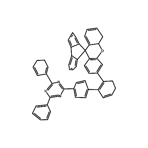 C1=CCC2Oc3cc(C4=C(c5ccc(-c6nc(C7=CCCC=C7)nc(-c7ccccc7)n6)cc5)C=CCC4)ccc3C3(C2=C1)c1ccccc1-c1ccccc13